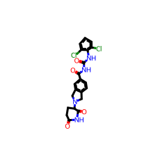 O=C1CCC(N2Cc3ccc(C(=O)NC(=O)Nc4c(Cl)cccc4Cl)cc3C2)C(=O)N1